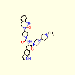 CN1CCC(N2CCN(C(=O)C(Cc3ccc4[nH]ccc4c3)NC(=O)N3CCC(N4CCc5ccccc5NC4=O)CC3)CC2)CC1